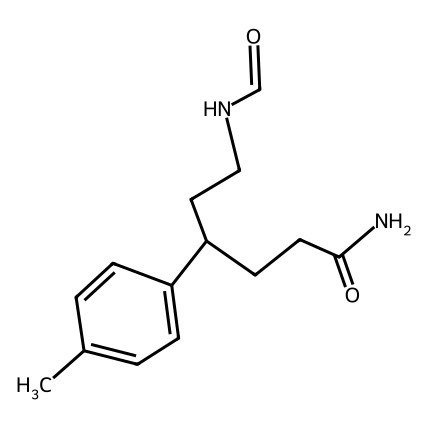 Cc1ccc(C(CCNC=O)CCC(N)=O)cc1